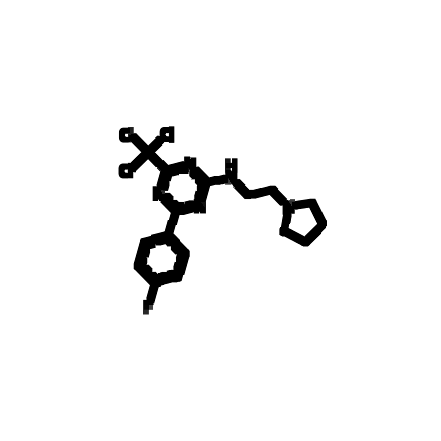 Fc1ccc(-c2nc(NCCN3CCCC3)nc(C(Cl)(Cl)Cl)n2)cc1